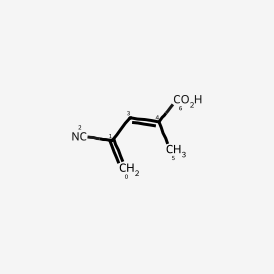 C=C(C#N)C=C(C)C(=O)O